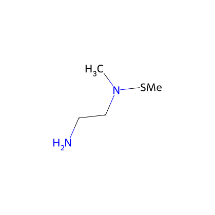 CSN(C)CCN